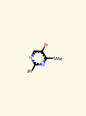 CSc1nc(C(C)C)ncc1Br